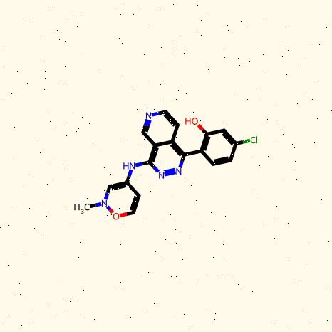 CN1C=C(Nc2nnc(-c3ccc(Cl)cc3O)c3ccncc23)C=CO1